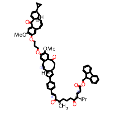 COc1cc2c(cc1OCCCOc1cc3c(cc1OC)C(=O)CCC1C=C(c4ccc(/C=C/C(=O)[C@H](C)CCCC(=O)[C@@H](/C=C/C(=O)OCC5c6ccccc6-c6ccccc65)C(C)C)cc4)C[C@H]1/C=C\3)C=C=C[C@@H]1CC(C3CC3)=CC=C1C2=O